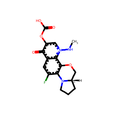 CNn1cc(OC(=O)O)c(=O)c2cc(F)c3c(c21)OC[C@@H]1CCCN31